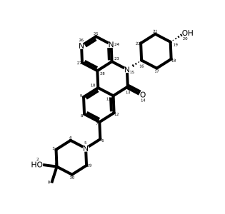 CC1(O)CCN(Cc2ccc3c(c2)c(=O)n([C@H]2CC[C@@H](O)CC2)c2ncncc32)CC1